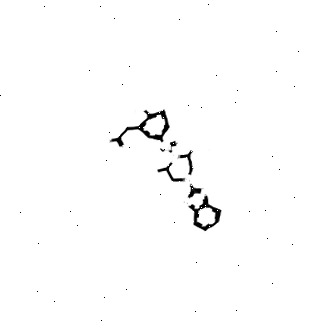 Cc1ccc(S(=O)(=O)N2C(C)CN(c3nc4ccccc4s3)CC2C)cc1CC(=O)O